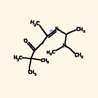 C/C(CC(=O)C(C)(C)C)=N/C(C)N(C)C